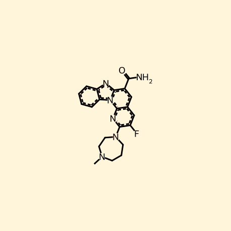 CN1CCCN(c2nc3c(cc2F)cc(C(N)=O)c2nc4ccccc4n23)CC1